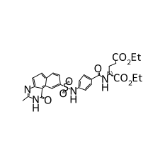 CCOC(=O)CC[C@H](NC(=O)c1ccc(NS(=O)(=O)c2ccc3ccc4nc(C)[nH]c(=O)c4c3c2)cc1)C(=O)OCC